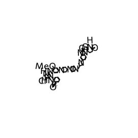 COc1cc(N2CCC(N3CCN(CC4CN(c5ccc6c(c5)n(C)c(=O)n6C5CCC(=O)NC5=O)C4)CC3)CC2)ccc1Nc1ncc(Cl)c(Nc2ccccc2P(C)(C)=O)n1